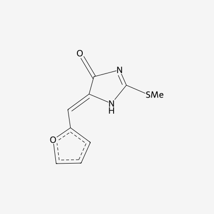 CSC1=NC(=O)/C(=C/c2ccco2)N1